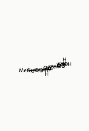 COCCOCCOCCOCCC(=O)Nc1ccc(CCCCc2ccc(CC(=O)NO)cc2)cc1